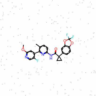 COc1cc(-c2nc(NC(=O)C3(c4ccc5c(c4)OC(F)(F)O5)CC3)ccc2C)c(F)cn1